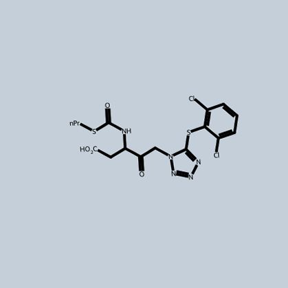 CCCSC(=O)NC(CC(=O)O)C(=O)Cn1nnnc1Sc1c(Cl)cccc1Cl